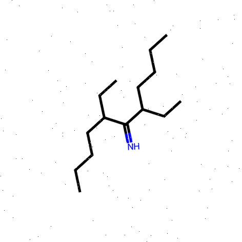 CCCCC(CC)C(=N)C(CC)CCCC